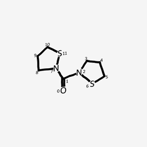 O=C(N1CCCS1)N1CCCS1